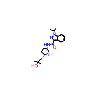 CC(C)n1nc(C(=O)N[C@H]2CC[C@@H](CCC(C)(C)O)NC2)c2ccccc21